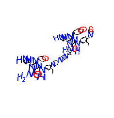 CCc1cc(Nc2nc(NC3CCOCC3)c(-c3cc[nH]n3)nc2C(=O)NC2CC2N2CCN(C3CCN(c4ccc(Nc5nc(NC6CCOCC6)c(-c6cc[nH]n6)nc5C(N)=O)cc4CC)CC3)CC2)ccc1CN1CCOCC1